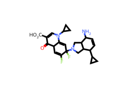 NC1C=CC(C2CC2)C2CN(C3(F)C=C4C(C=C3F)C(=O)C(C(=O)O)=CN4C3CC3)CC12